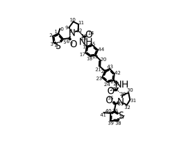 Cc1ccsc1C(=O)N1CCC[C@H]1C(=O)Nc1ccc(/C=C/c2ccc(NC(=O)[C@@H]3CCCN3C(=O)c3sccc3C)cc2)cc1